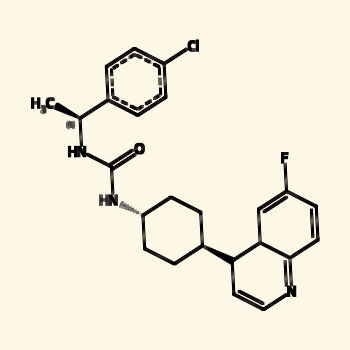 C[C@H](NC(=O)N[C@H]1CC[C@H](C2C=CN=C3C=CC(F)=CC32)CC1)c1ccc(Cl)cc1